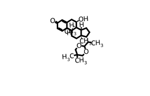 CC(C1OCC(C)(C)CO1)[C@H]1CC[C@H]2[C@@H]3[C@H](O)CC4=CC(=O)C=C[C@]4(C)[C@H]3CC[C@]12C